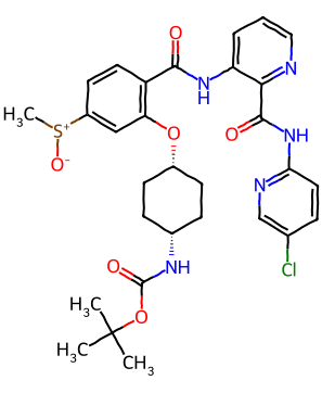 C[S+]([O-])c1ccc(C(=O)Nc2cccnc2C(=O)Nc2ccc(Cl)cn2)c(O[C@H]2CC[C@@H](NC(=O)OC(C)(C)C)CC2)c1